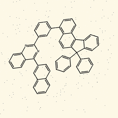 c1ccc(C2(c3ccccc3)c3ccccc3-c3c2ccc2c(-c4cccc(-c5nc(-c6ccc7ccccc7c6)c6ccccc6n5)c4)cccc32)cc1